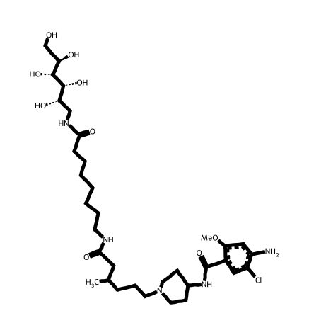 COc1cc(N)c(Cl)cc1C(=O)NC1CCN(CCCC(C)CC(=O)NCCCCCCCC(=O)NC[C@H](O)[C@@H](O)[C@H](O)[C@H](O)CO)CC1